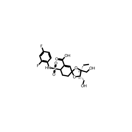 CC[C@@]1(CO)OC2(C=C(C(=O)O)C(S(=O)(=O)Nc3ccc(F)cc3F)CC2)O[C@H]1CO